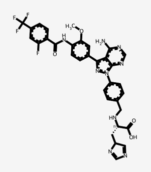 COc1cc(-c2nn(-c3ccc(CN[C@@H](CC4C=NC=N4)C(=O)O)cc3)c3ncnc(N)c23)ccc1NC(=O)c1ccc(C(F)(F)F)cc1F